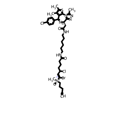 C#CCCC[N+](C)([O-])/C(Br)=C/C(Cl)CCCC(=O)NCCCCCCNC(=O)C[C@H]1N=C(c2ccc(Cl)cc2)c2c(sc(C)c2C)-n2c(C)nnc21